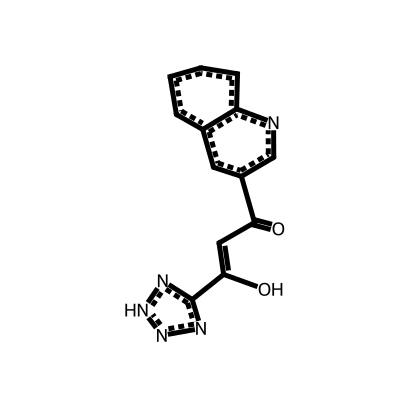 O=C(C=C(O)c1nn[nH]n1)c1cnc2ccccc2c1